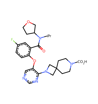 CC(C)N(C(=O)c1cc(F)ccc1Oc1cncnc1N1CC2(CCN(C(=O)O)CC2)C1)C1CCOC1